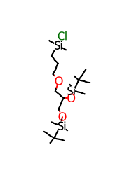 CC(C)(C)[Si](C)(C)OCC(COCCC[Si](C)(C)Cl)O[Si](C)(C)C(C)(C)C